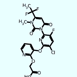 Cn1c(C(C)(F)F)cc(=O)n(-c2nc(Oc3cccnc3OCC(=O)O)c(Cl)cc2F)c1=O